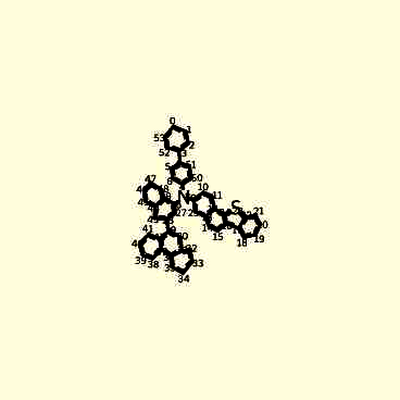 c1ccc(-c2ccc(N(c3ccc4c(ccc5c6ccccc6sc45)c3)c3cc(-c4cc5ccccc5c5ccccc45)cc4ccccc34)cc2)cc1